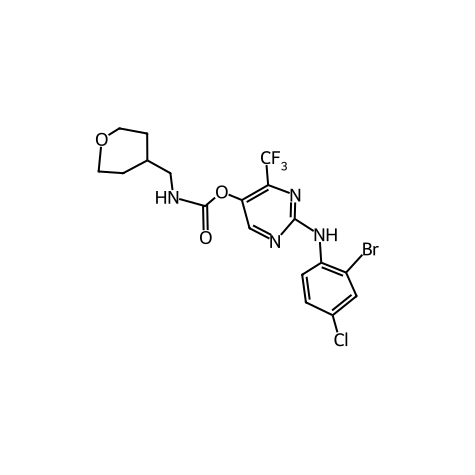 O=C(NCC1CCOCC1)Oc1cnc(Nc2ccc(Cl)cc2Br)nc1C(F)(F)F